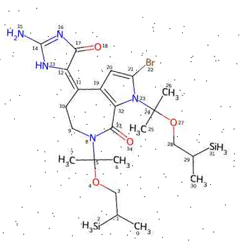 CC([SiH3])COC(C)(C)N1CCC(=C2NC(N)=NC2=O)c2cc(Br)n(C(C)(C)OCC(C)[SiH3])c2C1=O